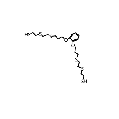 SCCSCCSCCCOc1ccccc1OCCCSCCSCCS